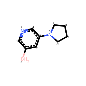 Bc1cncc(N2CCCC2)c1